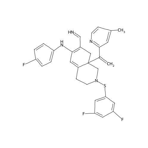 C=C(c1cc(C)ccn1)C12CC(C=N)=C(Nc3ccc(F)cc3)C=C1CCN(Sc1cc(F)cc(F)c1)C2